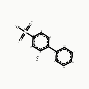 O=S(=O)([O-])c1ccc(-c2ccccc2)cc1.[K+]